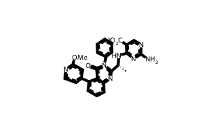 COc1cc(-c2cccc3nc([C@@H](C)Nc4nc(N)ncc4C(=O)O)n(-c4ccccc4)c(=O)c23)ccn1